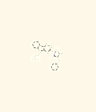 Cc1nn(-c2nnc3c4ccccc4n(CCO)c3n2)c(C)c1Cc1ccccc1